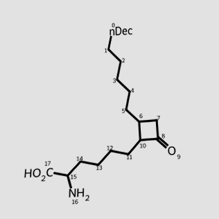 CCCCCCCCCCCCCCCC1CC(=O)C1CCCCC(N)C(=O)O